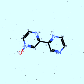 [O-][n+]1ccnc(-c2cnccn2)c1